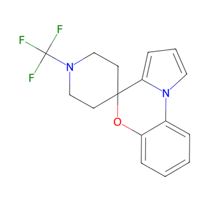 FC(F)(F)N1CCC2(CC1)Oc1ccccc1-n1cccc12